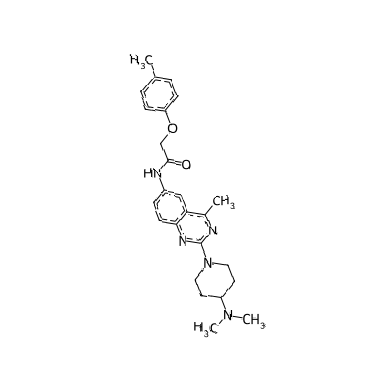 Cc1ccc(OCC(=O)Nc2ccc3nc(N4CCC(N(C)C)CC4)nc(C)c3c2)cc1